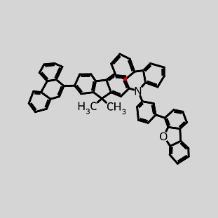 CC1(C)c2cc(-c3cc4ccccc4c4ccccc34)ccc2-c2ccc(N(c3cccc(-c4cccc5c4oc4ccccc45)c3)c3ccccc3-c3ccccc3)cc21